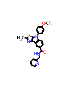 Cc1nc2c3cc(C(=O)NCc4ccccn4)ccc3n(-c3ccc(OC(F)(F)F)cc3)c2s1